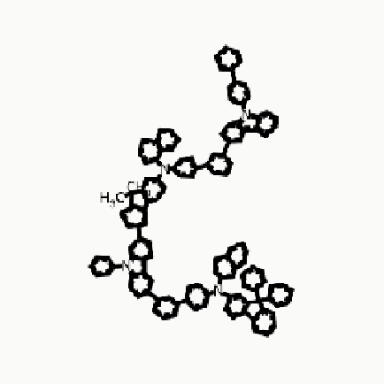 CC1(C)c2ccc(-c3ccc4c5cc(-c6cccc(-c7ccc(N(c8ccc9c(c8)C(c8ccccc8)(c8ccccc8)c8ccccc8-9)c8ccc9ccccc9c8)cc7)c6)ccc5n(-c5ccccc5)c4c3)cc2-c2ccc(N(c3ccc(-c4cccc(-c5ccc6c(c5)c5ccccc5n6-c5ccc(-c6ccccc6)cc5)c4)cc3)c3cccc4ccccc34)cc21